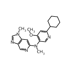 COc1cc(C2CCCCC2)ncc1N(C)c1cc2c(cn1)ncn2C